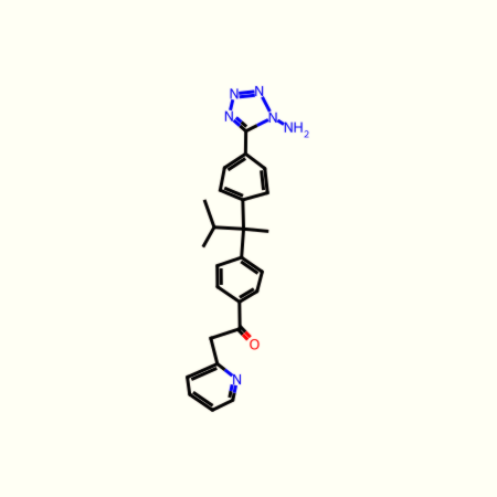 CC(C)C(C)(c1ccc(C(=O)Cc2ccccn2)cc1)c1ccc(-c2nnnn2N)cc1